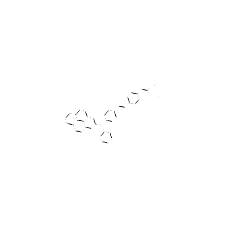 N#C/C(=C/c1ccc(/C=C/c2ccc(N(c3ccccc3)c3cc4ccc5cccc6ccc(c3)c4c56)cc2)cc1)C(=O)O